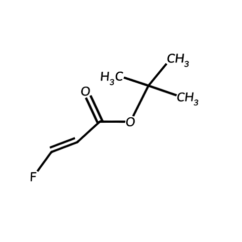 CC(C)(C)OC(=O)C=CF